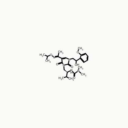 COc1ccccc1C(O)Cn1cc(/C(C)=N/OC(C)C)c(=O)n(C[C@@H](NC(=O)N(C)C)C(C)C)c1=O